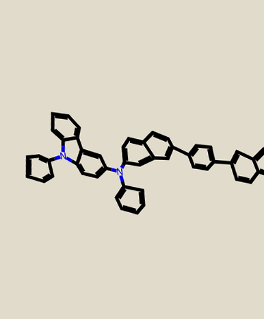 c1ccc(N(c2ccc3ccc(-c4ccc(-c5ccc6ccccc6c5)cc4)cc3c2)c2ccc3c(c2)c2ccccc2n3-c2ccccc2)cc1